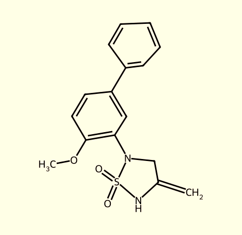 C=C1CN(c2cc(-c3ccccc3)ccc2OC)S(=O)(=O)N1